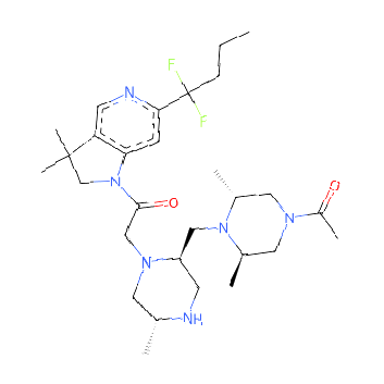 CCCC(F)(F)c1cc2c(cn1)C(C)(C)CN2C(=O)CN1C[C@@H](C)NC[C@@H]1CN1[C@H](C)CN(C(C)=O)C[C@H]1C